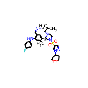 Cc1cc(Nc2ccc(F)cc2)c(C=N)cc1[C@@H]1CN(S(=O)(=O)c2cnn(C3CCOCC3)c2)CCN1CC(C)C